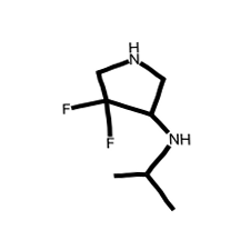 CC(C)NC1CNCC1(F)F